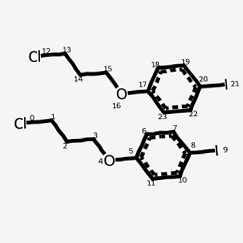 ClCCCOc1ccc(I)cc1.ClCCCOc1ccc(I)cc1